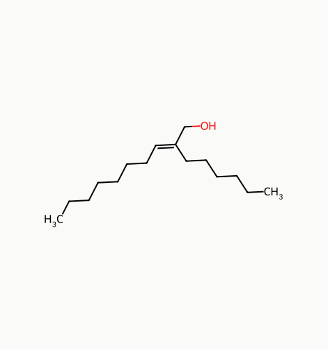 CCCCCCC/C=C(/CO)CCCCCC